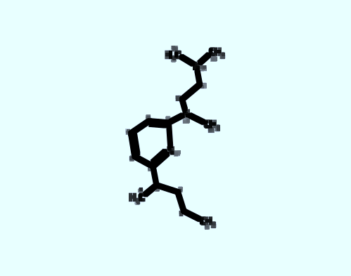 CCCC(C)c1cccc(N(C)CCN(C)C)n1